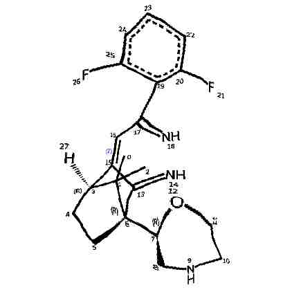 CC1(C)[C@H]2CC[C@]1([C@@H]1CNCCO1)C(=N)/C2=C\C(=N)c1c(F)cccc1F